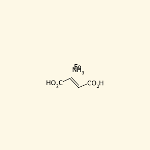 N.O=C(O)C=CC(=O)O.[Fe]